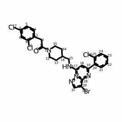 O=C(Cc1ccc(Cl)cc1Cl)N1CCC(CNc2cc(-c3ccccc3Cl)nc3c(Br)cnn23)CC1